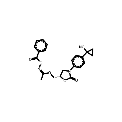 CC(=NOC(=O)c1ccccc1)OC[C@@H]1CN(c2ccc(C3(C#N)CC3)cc2)C(=O)O1